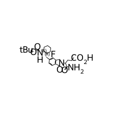 CC(C)(C)OC(=O)N[C@H]1CCCC[C@@H]1Cc1ccc2c(c1F)CN(C(CCC(=O)O)C(N)=O)C2=O